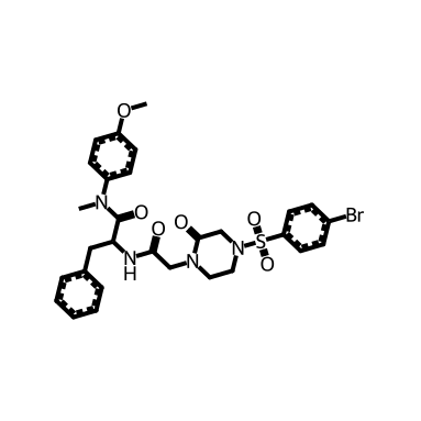 COc1ccc(N(C)C(=O)C(Cc2ccccc2)NC(=O)CN2CCN(S(=O)(=O)c3ccc(Br)cc3)CC2=O)cc1